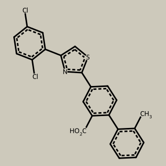 Cc1ccccc1-c1ccc(-c2nc(-c3cc(Cl)ccc3Cl)cs2)cc1C(=O)O